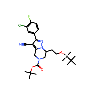 CC(C)(C)OC(=O)N1Cc2c(C#N)c(-c3ccc(F)c(Cl)c3)nn2C(CCO[Si](C)(C)C(C)(C)C)C1